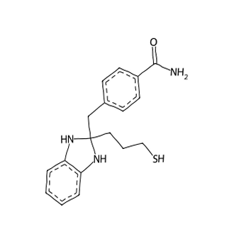 NC(=O)c1ccc(CC2(CCCS)Nc3ccccc3N2)cc1